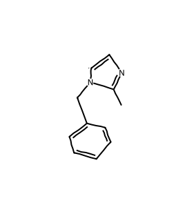 Cc1nc[c]n1Cc1ccccc1